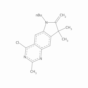 C=C1N(CCCC)c2cc3c(Cl)nc(C)nc3cc2C1(C)C